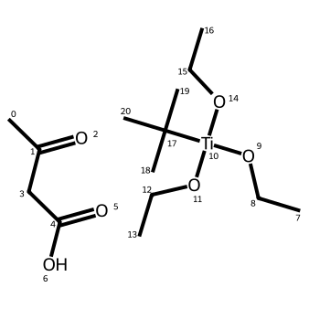 CC(=O)CC(=O)O.CC[O][Ti]([O]CC)([O]CC)[C](C)(C)C